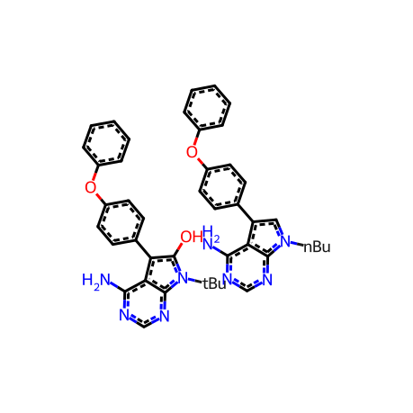 CC(C)(C)n1c(O)c(-c2ccc(Oc3ccccc3)cc2)c2c(N)ncnc21.CCCCn1cc(-c2ccc(Oc3ccccc3)cc2)c2c(N)ncnc21